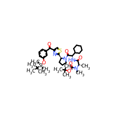 C[C@@H](C(=O)N[C@H](C(=O)N1CCC[C@H]1c1nc(C(=O)c2cccc(O[Si](C)(C)C(C)(C)C)c2)cs1)C1CCCCC1)N(C)C(=O)OC(C)(C)C